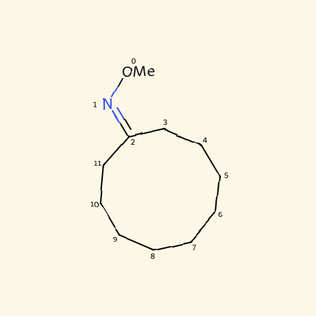 CON=C1CCCCCCCCC1